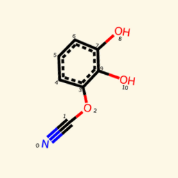 N#COc1cccc(O)c1O